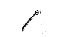 O=C(O)CCCCCCCCCCCCCCCCCCCCCCCC12CC(F)(C1)C2